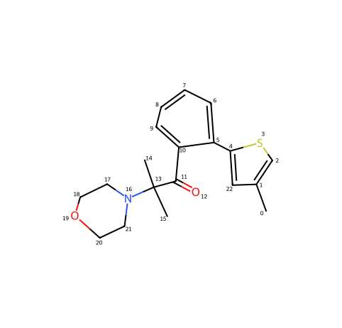 Cc1csc(-c2ccccc2C(=O)C(C)(C)N2CCOCC2)c1